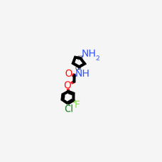 N[C@H]1CC[C@H](NC(=O)COc2ccc(Cl)c(F)c2)C1